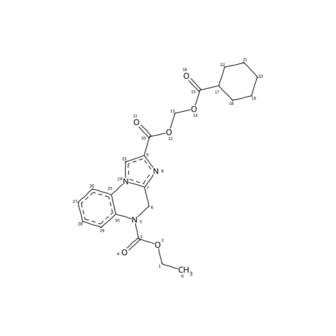 CCOC(=O)N1Cc2nc(C(=O)OCOC(=O)C3CCCCC3)cn2-c2ccccc21